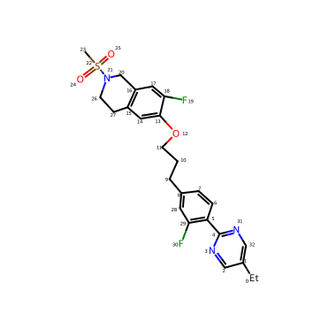 CCc1cnc(-c2ccc(CCCOc3cc4c(cc3F)CN(S(C)(=O)=O)CC4)cc2F)nc1